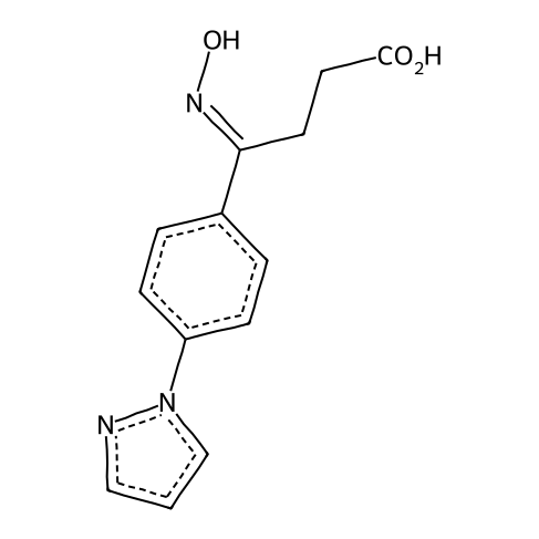 O=C(O)CCC(=NO)c1ccc(-n2cccn2)cc1